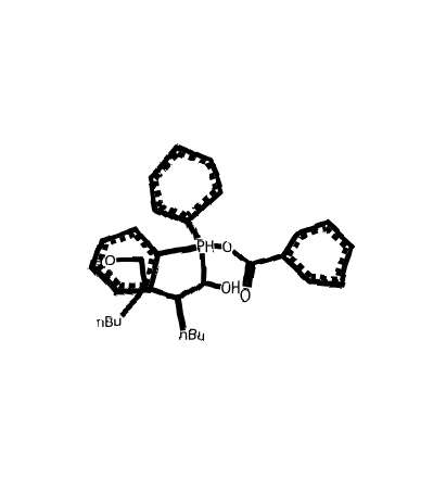 CCCCC(CO)C(CCCC)C(O)[PH](OC(=O)c1ccccc1)(c1ccccc1)c1ccccc1